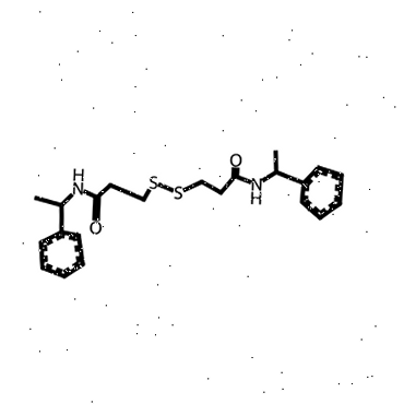 CC(NC(=O)CCSSCCC(=O)NC(C)c1ccccc1)c1ccccc1